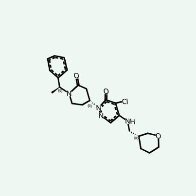 C[C@@H](c1ccccc1)N1CC[C@@H](n2ncc(NC[C@H]3CCCOC3)c(Cl)c2=O)CC1=O